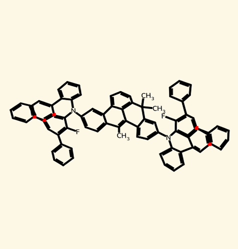 Cc1c2c3c(cccc3c3cc(N(c4ccccc4-c4ccccc4)c4cc(-c5ccccc5)cc(-c5ccccc5)c4F)ccc13)C(C)(C)c1cc(N(c3ccccc3-c3ccccc3)c3cc(-c4ccccc4)cc(-c4ccccc4)c3F)ccc1-2